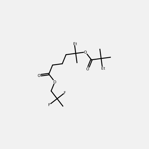 CCC(C)(CCCC(=O)OCC(C)(F)F)OC(=O)C(C)(C)CC